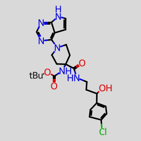 CC(C)(C)OC(=O)NC1(C(=O)NCCC(O)c2ccc(Cl)cc2)CCN(c2ncnc3[nH]ccc23)CC1